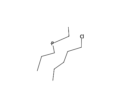 CCCCCCl.CCC[P]CC